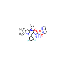 Cc1cc(N(C)C(=O)C(Cc2cc(F)cc(F)c2)NC(=O)NS(=O)(=O)N2CCc3cccnc32)cnc1C